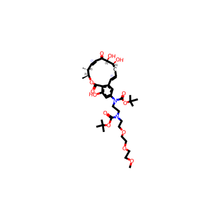 COCCOCCOCCN(CCN(C(=O)OC(C)(C)C)c1cc(O)c2c(c1)/C=C/C[C@H](O)[C@H](O)C(=O)/C=C\[C@@H](C)[C@H](C)OC2=O)C(=O)OC(C)(C)C